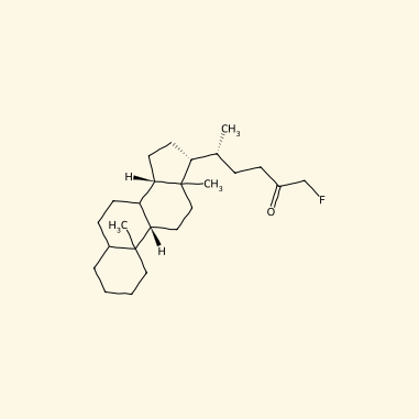 C[C@H](CCC(=O)CF)[C@H]1CC[C@H]2C3CCC4CCCCC4(C)[C@H]3CCC12C